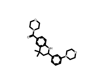 CC1(C)CC(c2cccc(N3CCOCC3)c2)Nc2ccc(C(=O)N3CCOCC3)cc21